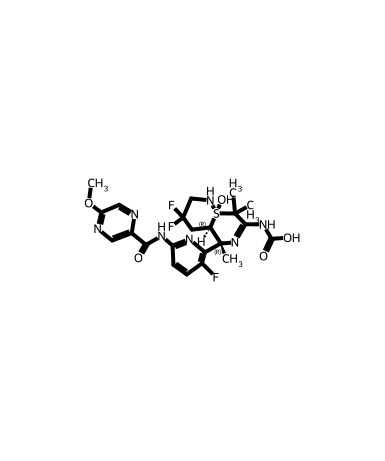 COc1cnc(C(=O)Nc2ccc(F)c([C@@]3(C)N=C(NC(=O)O)C(C)(C)S4(O)NCC(F)(F)C[C@H]34)n2)cn1